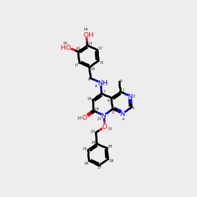 Cc1ncnc2c1c(NCc1ccc(O)c(O)c1)cc(=O)n2OCc1ccccc1